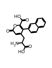 NC(Cc1cc(=O)oc(C(=O)O)c1-c1ccc2ccccc2c1)C(=O)O